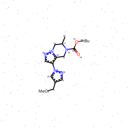 COCc1cnn(-c2cnn3c2CN(C(=O)OC(C)(C)C)C(C)C3)c1